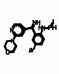 N=C(c1ccnc(N2CCOCC2)c1)c1cc(Br)ccc1NPI